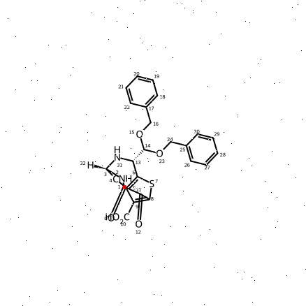 O=C1N[C@@H]2Cc3c(sc(c3C(=O)O)C1=O)[C@@H](C(OCc1ccccc1)OCc1ccccc1)N2